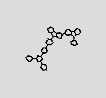 c1ccc(-n2c3ccccc3c3ccc(-c4ccc5c(c4)c4ccccc4n5-c4ncc(-c5ccc(-c6cc(-c7ccncc7)cc(-c7ccncc7)c6)cc5)cn4)cc32)cc1